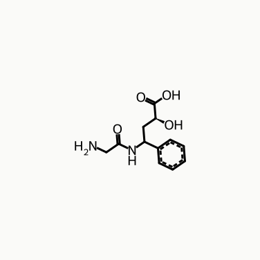 NCC(=O)NC(C[C@H](O)C(=O)O)c1ccccc1